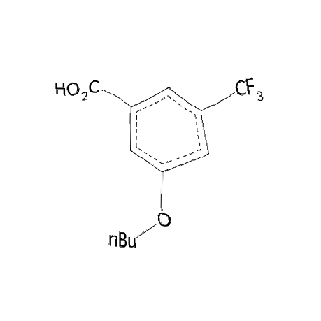 CCCCOc1cc(C(=O)O)cc(C(F)(F)F)c1